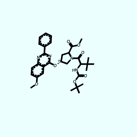 COC(=O)C1C[C@@H](Oc2nc(-c3ccccc3)nc3ccc(OC)cc23)CN1C(=O)C(NC(=O)OC(C)(C)C)C(C)(C)C